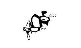 C=CC1C2=CC[C@@H]3[C@@H](CC[C@]4(C)C(=O)CC[C@@H]34)[C@@]2(C)CCC1O